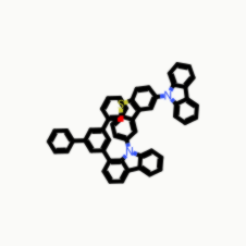 c1ccc(-c2cc(-c3ccccc3)cc(-c3cccc4c5ccccc5n(-c5ccc6sc7ccc(-n8c9ccccc9c9ccccc98)cc7c6c5)c34)c2)cc1